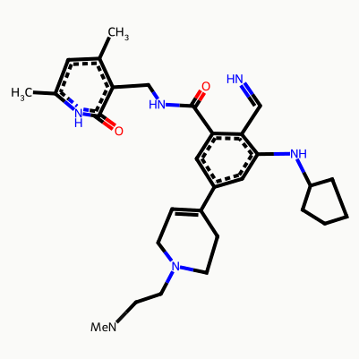 CNCCN1CC=C(c2cc(NC3CCCC3)c(C=N)c(C(=O)NCc3c(C)cc(C)[nH]c3=O)c2)CC1